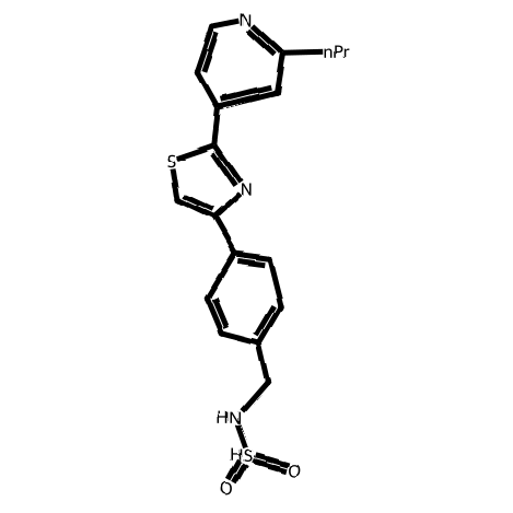 CCCc1cc(-c2nc(-c3ccc(CN[SH](=O)=O)cc3)cs2)ccn1